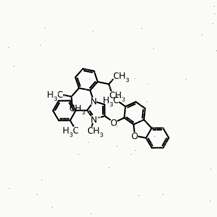 Cc1ccccc1-c1n(-c2c(C(C)C)cccc2C(C)C)cc(Oc2c(C)ccc3c2oc2ccccc23)[n+]1C